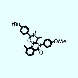 COc1ccc(-n2c(C(C)N(C)C(=O)c3ccc(C(C)(C)C)cc3)nc3c(C)cccc3c2=O)cc1